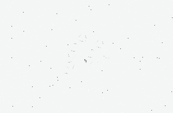 O=C(Oc1ccccc1C(=O)O)c1ccccc1O.O=C(Oc1ccccc1C(=O)O)c1ccccc1O.O=C([O-])c1ccccc1O.[Na+]